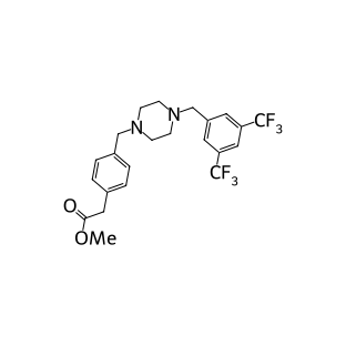 COC(=O)Cc1ccc(CN2CCN(Cc3cc(C(F)(F)F)cc(C(F)(F)F)c3)CC2)cc1